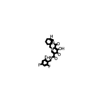 O=C(NCc1c(F)cc(F)cc1F)c1cn2c(c(O)c1=O)C(=O)N1C[C@@H]3CCCC1(C3)C2